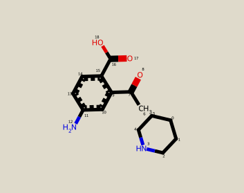 C1CCNCC1.CC(=O)c1cc(N)ccc1C(=O)O